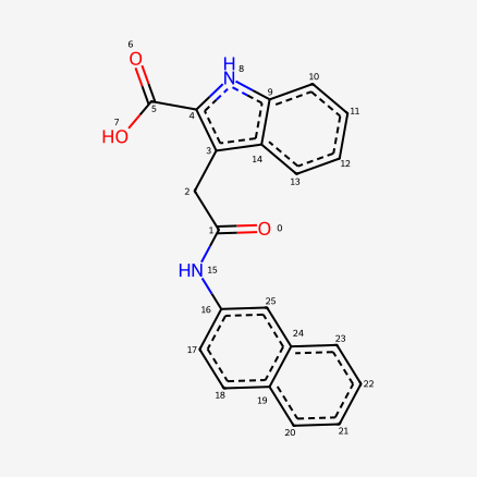 O=C(Cc1c(C(=O)O)[nH]c2ccccc12)Nc1ccc2ccccc2c1